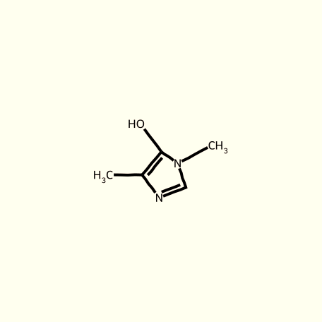 Cc1ncn(C)c1O